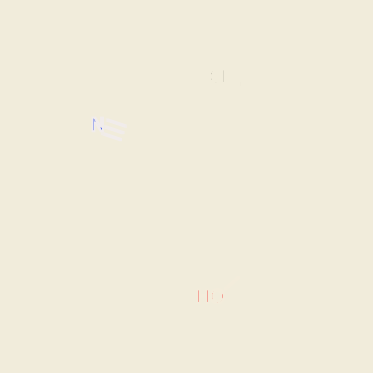 Cc1ccc([CH]O)cc1C#N